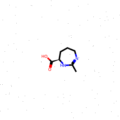 CC1=NCCC[C@H](C(=O)O)N1